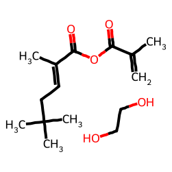 C=C(C)C(=O)OC(=O)C(C)=CCC(C)(C)C.OCCO